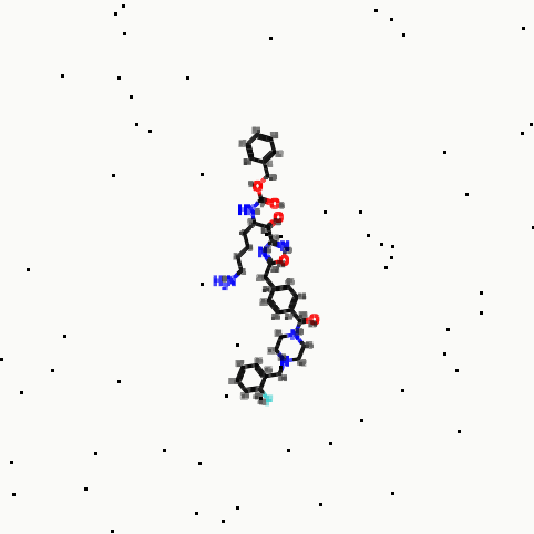 NCCCCC(NC(=O)OCc1ccccc1)C(=O)c1noc(Cc2ccc(C(=O)N3CCN(Cc4ccccc4F)CC3)cc2)n1